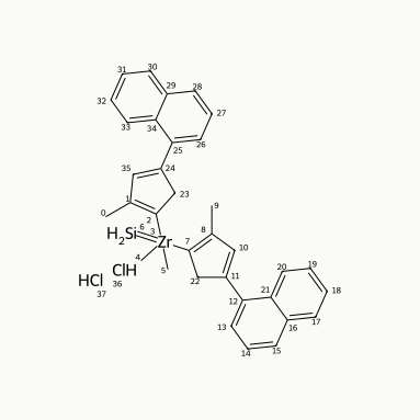 CC1=[C]([Zr]([CH3])([CH3])(=[SiH2])[C]2=C(C)C=C(c3cccc4ccccc34)C2)CC(c2cccc3ccccc23)=C1.Cl.Cl